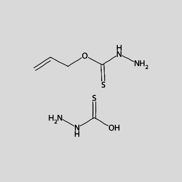 C=CCOC(=S)NN.NNC(O)=S